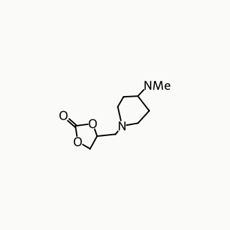 CNC1CCN(CC2COC(=O)O2)CC1